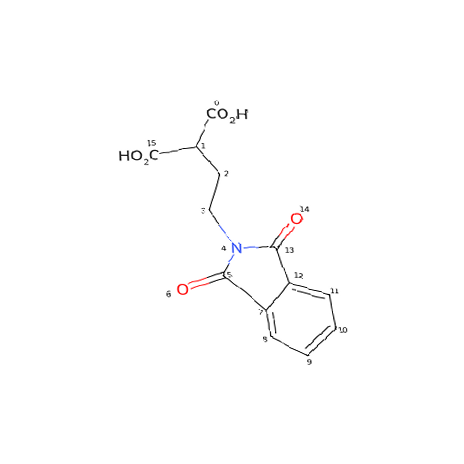 O=C(O)C(CCN1C(=O)c2ccccc2C1=O)C(=O)O